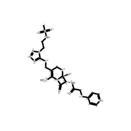 CS(=O)(=O)NCCn1nnnc1SCC1=C(C(=O)O)N2C(=O)[C@@H](NC(=O)CSc3ccncc3)[C@H]2SC1